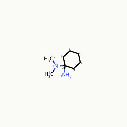 C[N+](C)C1(N)CCCCC1